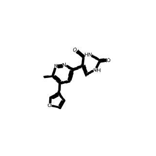 Cc1nnc(-c2c[nH]c(=O)[nH]c2=O)cc1-c1ccoc1